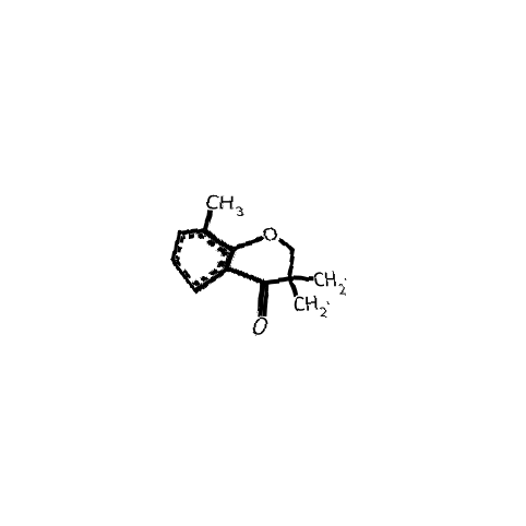 [CH2]C1([CH2])COc2c(C)cccc2C1=O